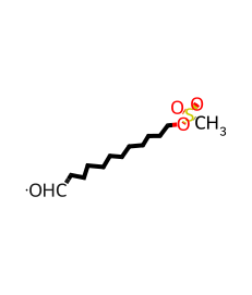 CS(=O)(=O)OCCCCCCCCCCC[C]=O